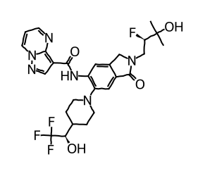 CC(C)(O)[C@H](F)CN1Cc2cc(NC(=O)c3cnn4cccnc34)c(N3CCC([C@@H](O)C(F)(F)F)CC3)cc2C1=O